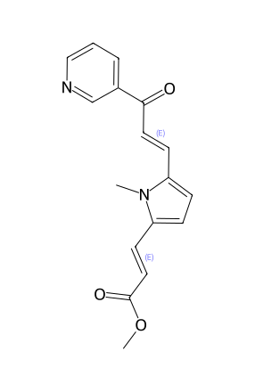 COC(=O)/C=C/c1ccc(/C=C/C(=O)c2cccnc2)n1C